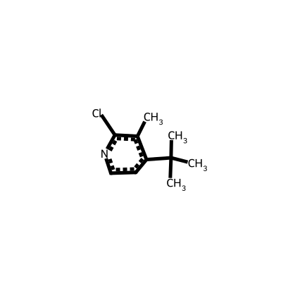 Cc1c(C(C)(C)C)ccnc1Cl